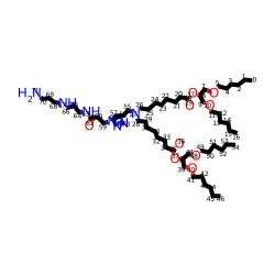 CCCCCCOCC(COCCCCCC)OC(=O)CCCCCCCN(CCCCCCCC(=O)OC(COCCCCCC)COCCCCCC)Cc1cn(CCC(=O)NCCCNCCCN)nn1